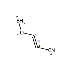 BO/C=C/C#N